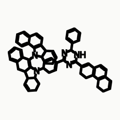 C1=Cc2ccc3c(c2CC1)CCC(C1=NC(C2=CCC(N4C5=C(N6c7c(ccc8ccccc78)C7C=CCCC76)c6ccccc6CC5C5C=CCCC54)C=C2)=NC(c2ccccc2)N1)=C3